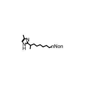 CCCCCCCCCCCCCCCC(C)c1nc(C)c[nH]1